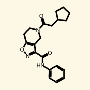 O=C(Nc1ccccc1)c1noc2c1CN(C(=O)CC1CCCC1)CC2